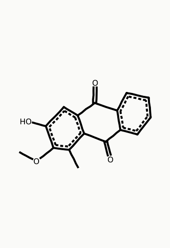 COc1c(O)cc2c(c1C)C(=O)c1ccccc1C2=O